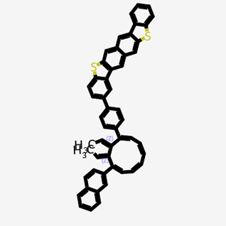 C/C=c1/c(-c2ccc(-c3ccc4sc5cc6cc7c(cc6cc5c4c3)sc3ccccc37)cc2)ccccccc(-c2ccc3ccccc3c2)/c1=C/C